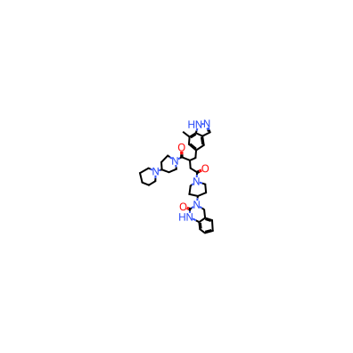 Cc1cc(CC(CC(=O)N2CCC(N3Cc4ccccc4NC3=O)CC2)C(=O)N2CCC(N3CCCCC3)CC2)cc2cn[nH]c12